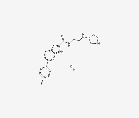 O=C(NCCNC1CCNC1)c1cc2ccc(-c3ccc(F)cc3)cc2[nH]1.[Cl-].[H+]